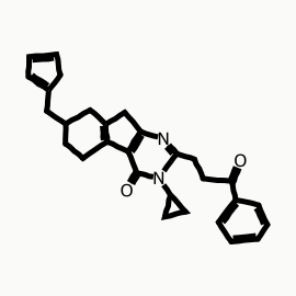 O=C(CCc1nc2c(c(=O)n1C1CC1)C1=C(C2)CC(CC2=CC=CC2)CC1)c1ccccc1